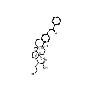 C[C@]12CC[C@@H]3c4ccc(OC(=O)c5ccccc5)cc4CC[C@H]3[C@@H]1CC[C@@H]2C(CCO)C(=O)O